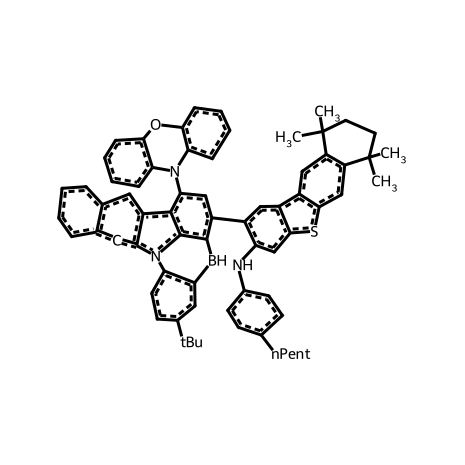 CCCCCc1ccc(Nc2cc3sc4cc5c(cc4c3cc2-c2cc(N3c4ccccc4Oc4ccccc43)c3c4cc6ccccc6cc4n4c3c2Bc2cc(C(C)(C)C)ccc2-4)C(C)(C)CCC5(C)C)cc1